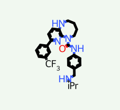 CC(C)NCc1ccc(NC(=O)N2CCCCNc3ccc(-c4cccc(C(F)(F)F)c4)nc32)cc1